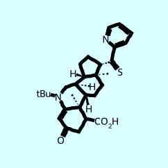 CC(C)(C)N1C[C@H]2[C@@H]3CC[C@H](C(=S)c4ccccn4)[C@@]3(C)CC[C@@H]2[C@]2(C)C1=CC(=O)CC2C(=O)O